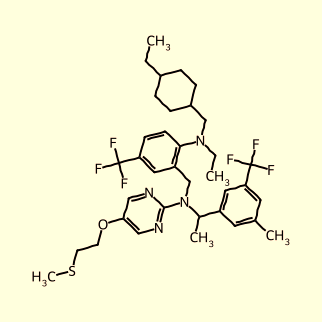 CCC1CCC(CN(CC)c2ccc(C(F)(F)F)cc2CN(c2ncc(OCCSC)cn2)C(C)c2cc(C)cc(C(F)(F)F)c2)CC1